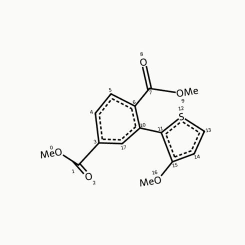 COC(=O)c1ccc(C(=O)OC)c(-c2sccc2OC)c1